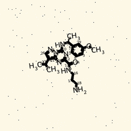 COc1cccc([C@H](C)Nc2nc(C(=O)NCCCN)nc3c(C(C)C)cnn23)c1